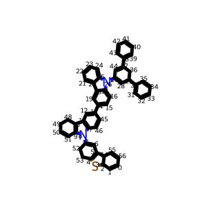 C1=CC2SC3=C(C=C(n4c5c(c6cc(-c7ccc8c(c7)c7ccccc7n8C7=CC(c8ccccc8)CC(c8ccccc8)=C7)ccc64)CCC=C5)CC3)C2C=C1